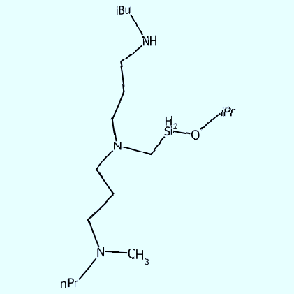 CCCN(C)CCCN(CCCNC(C)CC)C[SiH2]OC(C)C